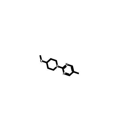 COC1CCN(c2ncc(C)cn2)CC1